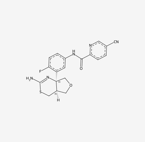 N#Cc1ccc(C(=O)Nc2ccc(F)c([C@]34COC[C@H]3CSC(N)=N4)c2)nc1